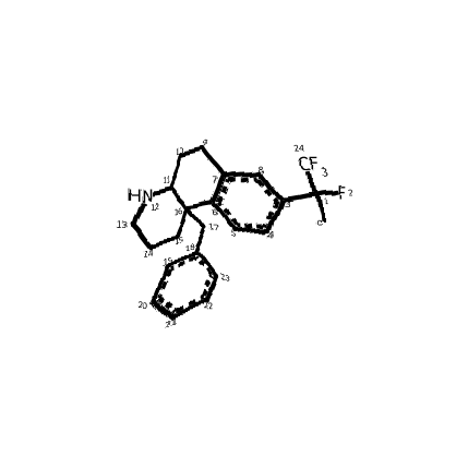 CC(F)(c1ccc2c(c1)CCC1NCCCC21Cc1ccccc1)C(F)(F)F